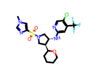 Cn1cnc(S(=O)(=O)N2C[C@H](Nc3cc(C(F)(F)F)c(Cl)cn3)[C@@H](C3CCCCO3)C2)c1